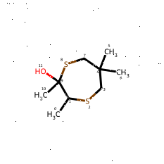 CC1SCC(C)(C)CSC1(C)O